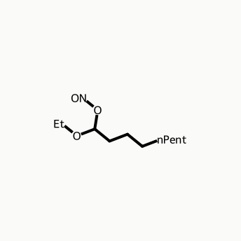 CCCCCCCCC(OCC)ON=O